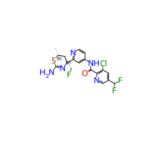 C[C@@H]1C[C@@](CF)(c2cc(NC(=O)c3ncc(C(F)F)cc3Cl)ccn2)N=C(N)S1